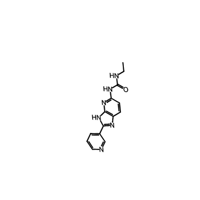 CCNC(=O)Nc1ccc2nc(-c3cccnc3)[nH]c2n1